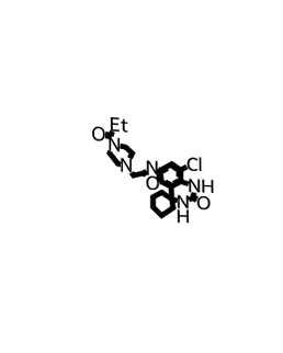 CCC(=O)N1CCN(Cc2nc3cc(Cl)c4c(c3o2)C2(CCCCC2)NC(=O)N4)CC1